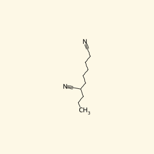 CCCC(C#N)CCCCCC#N